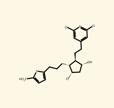 O=C(O)c1ccc(CCC[C@@H]2[C@@H](CCc3cc(Cl)nc(Cl)c3)[C@H](O)C[C@@H]2Cl)s1